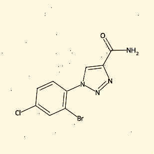 NC(=O)c1cn(-c2ccc(Cl)cc2Br)nn1